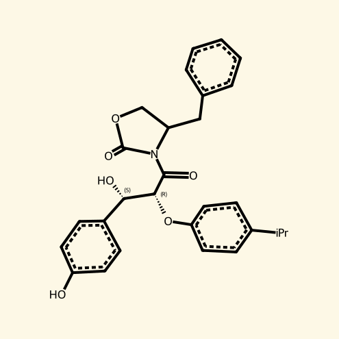 CC(C)c1ccc(O[C@@H](C(=O)N2C(=O)OCC2Cc2ccccc2)[C@@H](O)c2ccc(O)cc2)cc1